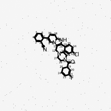 N#Cc1ccccc1C1=CN2C(CN3CCN(C(=O)C4C=C(F)C=CC4)CC3)=C(c3ccc(Cl)cc3)NC2C=C1